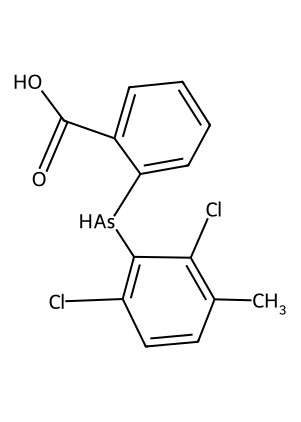 Cc1ccc(Cl)c([AsH]c2ccccc2C(=O)O)c1Cl